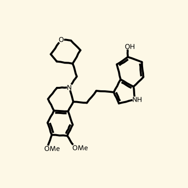 COc1cc2c(cc1OC)C(CCc1c[nH]c3ccc(O)cc13)N(CC1CCOCC1)CC2